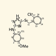 COc1ccc(Nc2n[nH]c(SCc3ccccc3Cl)n2)c(C)c1